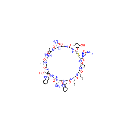 CCCC[C@H]1C(=O)N(C)[C@@H](CCCC)C(=O)NC2(CCCC2)C(=O)N[C@H](C(=O)NCC(N)=O)CSCC(=O)N[C@@H](Cc2ccc(O)cc2)C(=O)N(C)[C@@H](C)C(=O)N[C@@H](CC(N)=O)C(=O)N2CCC[C@H]2C(=O)N[C@@H](CN)C(=O)N[C@@H](CC(C)C)C(=O)N2C[C@H](O)C[C@H]2C(=O)N[C@@H](Cc2c[nH]c3ccccc23)C(=O)N[C@@H](CCN)C(=O)N[C@@H](Cc2c[nH]c3ccccc23)C(=O)N1C